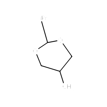 CC1COC(C(C)C)OC1